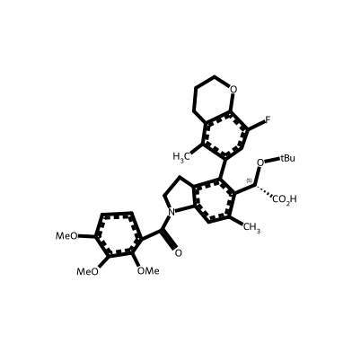 COc1ccc(C(=O)N2CCc3c2cc(C)c([C@H](OC(C)(C)C)C(=O)O)c3-c2cc(F)c3c(c2C)CCCO3)c(OC)c1OC